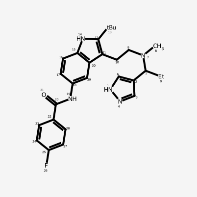 CCC(c1cn[nH]c1)N(C)CCc1c(C(C)(C)C)[nH]c2ccc(NC(=O)c3ccc(F)cc3)cc12